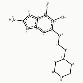 Nc1nc2cc(OCCN3CCOCC3)c(Cl)c(F)c2s1